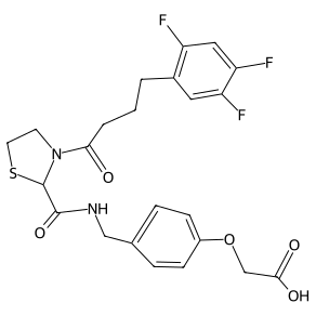 O=C(O)COc1ccc(CNC(=O)C2SCCN2C(=O)CCCc2cc(F)c(F)cc2F)cc1